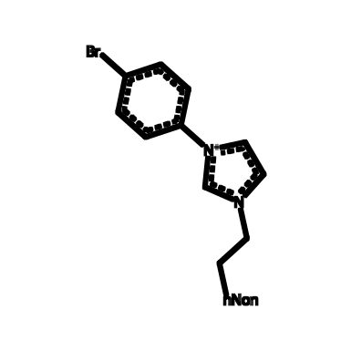 CCCCCCCCCCCn1cc[n+](-c2ccc(Br)cc2)c1